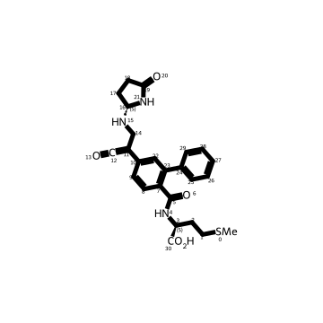 CSCC[C@H](NC(=O)c1ccc(C(=C=O)CN[C@@H]2CCC(=O)N2)cc1-c1ccccc1)C(=O)O